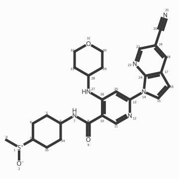 C[S+]([O-])C1CCC(NC(=O)c2cnc(-n3ccc4cc(C#N)cnc43)cc2NC2CCOCC2)CC1